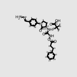 NN=Cc1ccc(N2CC[C@H](NC(=O)NOC(=O)CCc3ccccc3)C2=O)cc1.O=C(O)C(F)(F)F